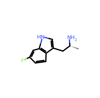 C[C@@H](N)Cc1c[nH]c2cc(F)ccc12